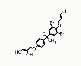 CC(C)(c1ccc(OC/C(O)=C/O)cc1)c1cc(Br)c(OC/C=C/Cl)c(Br)c1